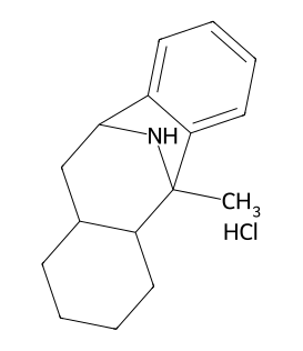 CC12NC(CC3CCCCC31)c1ccccc12.Cl